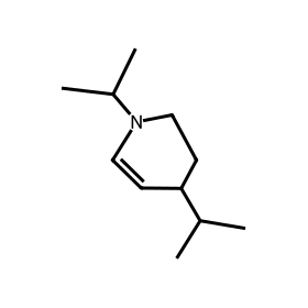 CC(C)C1C=CN(C(C)C)CC1